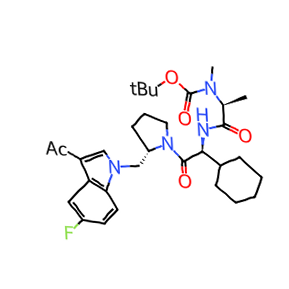 CC(=O)c1cn(C[C@@H]2CCCN2C(=O)[C@@H](NC(=O)[C@H](C)N(C)C(=O)OC(C)(C)C)C2CCCCC2)c2ccc(F)cc12